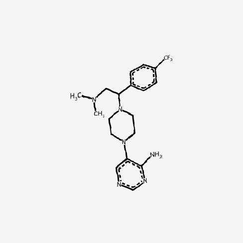 CN(C)CC(c1ccc(C(F)(F)F)cc1)N1CCN(c2cncnc2N)CC1